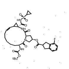 CC(C)(C)OC(=O)N[C@H]1CCCCC/C=C\C2C[C@@]2(C(=O)NS(=O)(=O)C2CC2)NC(=O)C2C[C@@H](OC(=O)C3Cc4cccc(F)c4C3)CN2C1=O